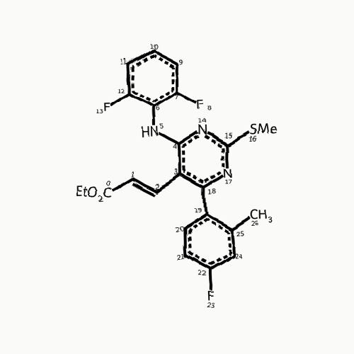 CCOC(=O)/C=C/c1c(Nc2c(F)cccc2F)nc(SC)nc1-c1ccc(F)cc1C